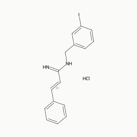 Cl.N=C(/C=C/c1ccccc1)NCc1cccc(I)c1